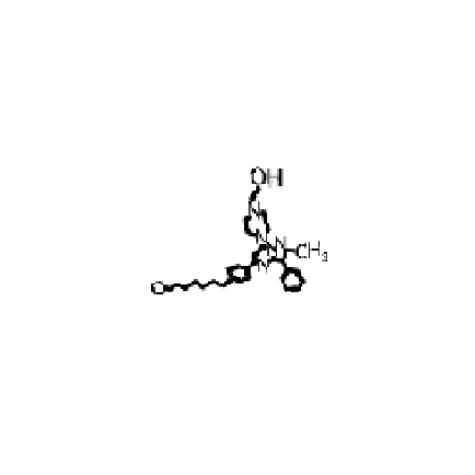 Cc1nn2c(N3CCN(CCO)CC3)cc(-c3ccc(CCCCCCC=O)cc3)nc2c1-c1ccccc1